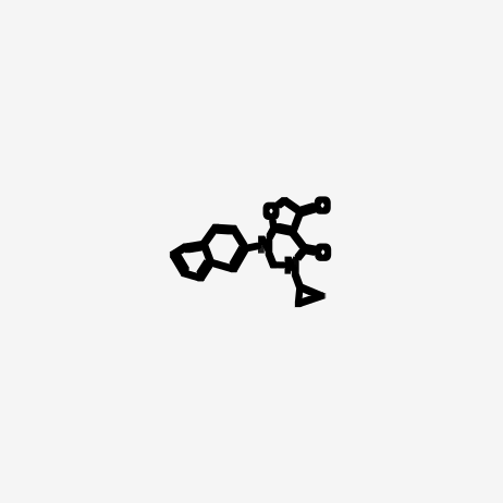 O=C1COC2=C1C(=O)N(C1CC1)CN2c1ccc2ccccc2c1